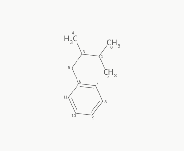 C[C](C)C(C)Cc1ccccc1